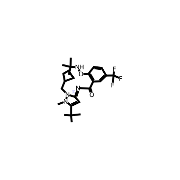 Cn1c(C(C)(C)C)c/c(=N\C(=O)c2cc(C(F)(F)F)ccc2ONC(C)(C)C)n1CC1CCC1